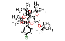 C[Si](C)(C)OCC1OC(O)(c2ccc(Cl)cc2)C(O[Si](C)(C)C)C(O[Si](C)(C)C)C1O[Si](C)(C)C